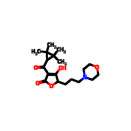 CC1(C)C(C(=O)C2=C(O)C(CCCN3CCOCC3)OC2=O)C1(C)C